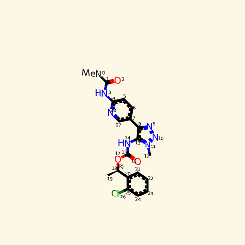 CNC(=O)Nc1ccc(-c2nnn(C)c2NC(=O)O[C@H](C)c2ccccc2Cl)cn1